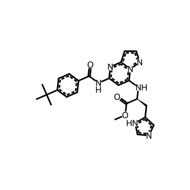 COC(=O)[C@H](Cc1cnc[nH]1)Nc1cc(NC(=O)c2ccc(C(C)(C)C)cc2)nc2ccnn12